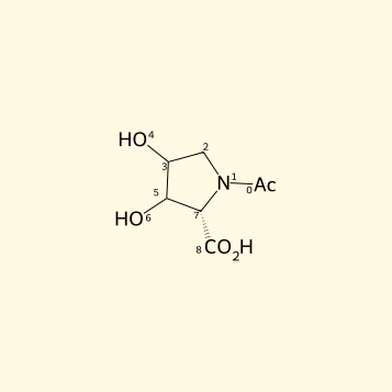 CC(=O)N1CC(O)C(O)[C@H]1C(=O)O